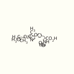 Cc1cn(COCCS(C)(C)C)c2nccc(Oc3ccc(CC(CNC(=O)OC(C)(C)C)C(=O)O)cc3)c12